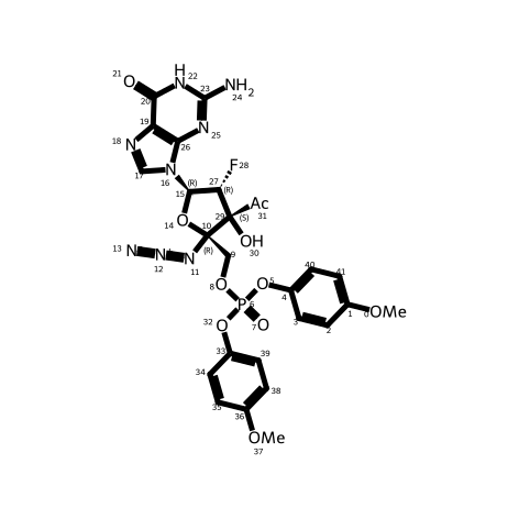 COc1ccc(OP(=O)(OC[C@@]2(N=[N+]=[N-])O[C@@H](n3cnc4c(=O)[nH]c(N)nc43)[C@H](F)[C@@]2(O)C(C)=O)Oc2ccc(OC)cc2)cc1